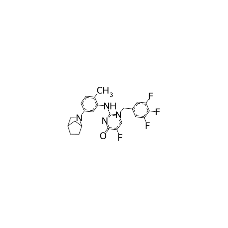 Cc1ccc(N2CC3CCC2C3)cc1Nc1nc(=O)c(F)cn1Cc1cc(F)c(F)c(F)c1